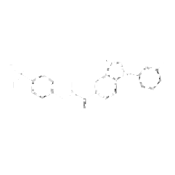 Cc1cccc(-n2cnc3cc(C(=O)NCc4ccc(C(F)(F)F)cc4)ccc32)c1